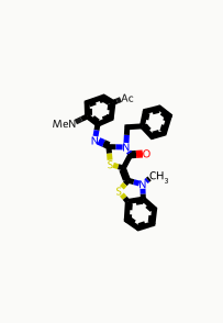 CNc1ccc(C(C)=O)cc1N=C1S/C(=C2\Sc3ccccc3N2C)C(=O)N1Cc1ccccc1